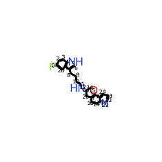 Fc1ccc2[nH]cc(CCCCN[C@@H]3COc4c(ccc5ncccc45)C3)c2c1